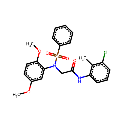 COc1ccc(OC)c(N(CC(=O)Nc2cccc(Cl)c2C)S(=O)(=O)c2ccccc2)c1